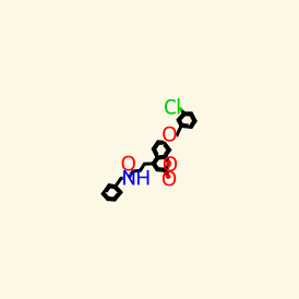 O=C(CCc1cc(=O)oc2cc(OCc3cccc(Cl)c3)ccc12)NCc1ccccc1